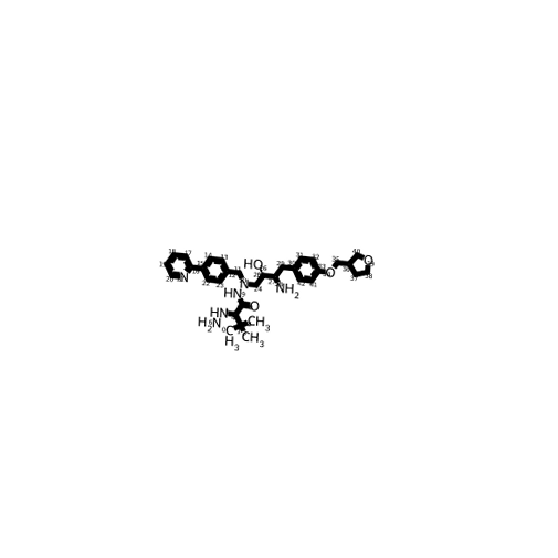 CC(C)(C)C(NN)C(=O)NN(Cc1ccc(-c2ccccn2)cc1)C[C@H](O)C(N)Cc1ccc(OCC2CCOC2)cc1